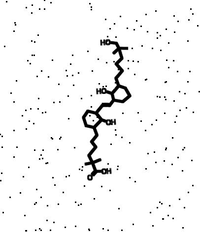 CC(C)(CO)CCCCC1CCCC(C=CC2CCCC(CCCCC(C)(C)C(=O)O)C2O)C1O